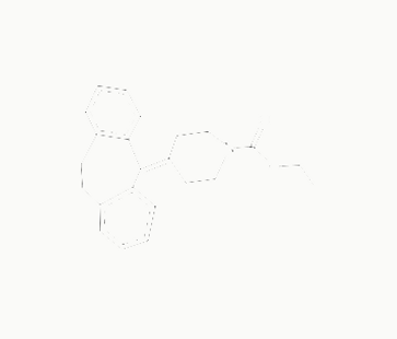 CCOC(=O)N1CCC(=C2c3ccccc3CCc3ccccc32)CC1